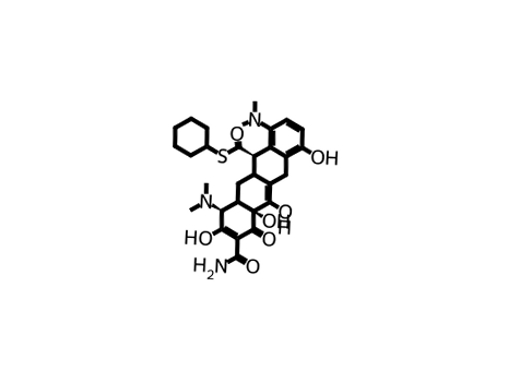 CN(C)c1ccc(O)c2c1[C@H](C(=O)SC1CCCCC1)C1CC3[C@H](N(C)C)C(O)=C(C(N)=O)C(=O)[C@@]3(O)C(O)=C1C2